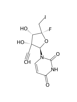 C#C[C@]1(O)[C@H](n2ccc(=O)[nH]c2=O)O[C@](F)(CI)[C@H]1O